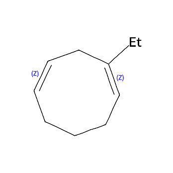 CC/C1=C/CCC/C=C\C1